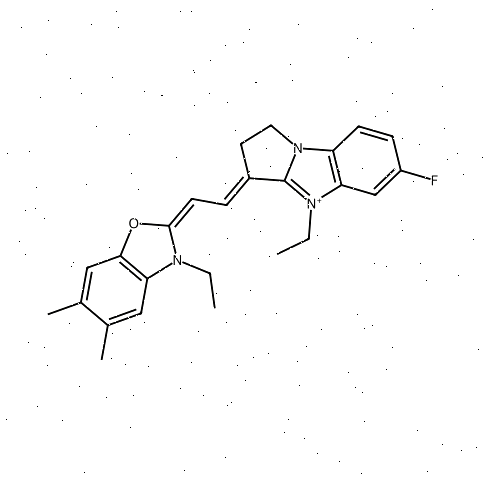 CCN1C(=CC=C2CCn3c2[n+](CC)c2cc(F)ccc23)Oc2cc(C)c(C)cc21